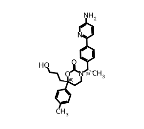 Cc1ccc([C@@]2(CCCO)CCN([C@@H](C)c3ccc(-c4ccc(N)cn4)cc3)C(=O)O2)cc1